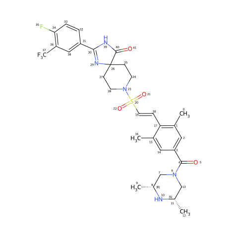 Cc1cc(C(=O)N2C[C@@H](C)N[C@@H](C)C2)cc(C)c1C=CS(=O)(=O)N1CCC2(CC1)N=C(c1ccc(F)c(C(F)(F)F)c1)NC2=O